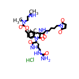 CNCCN(C)C(=O)OCc1ccc(N(C(=O)[C@](N)(C(=O)CCCCCN2C(=O)C=CC2=O)C(C)C)[C@@H](CCCNC(N)=O)C(N)=O)cc1.Cl